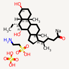 CC[C@H]1[C@@H](O)C2C3CC[C@H]([C@H](C)CC[C](=O)[Na])[C@@]3(C)CCC2[C@@]2(C)CC[C@H](O)C[C@@H]12.NCCS(=O)(=O)O.O=S(=O)(O)O